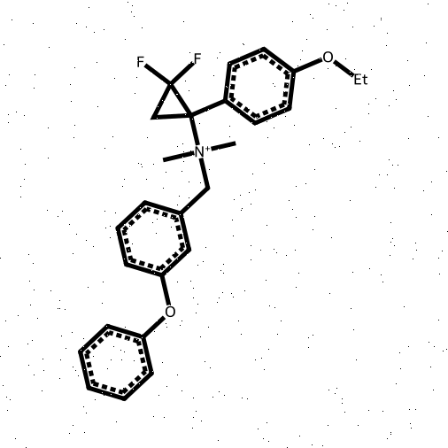 CCOc1ccc(C2([N+](C)(C)Cc3cccc(Oc4ccccc4)c3)CC2(F)F)cc1